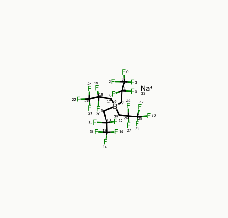 FC(F)(F)C(F)(F)C[B-](CC(F)(F)C(F)(F)F)(CC(F)(F)C(F)(F)F)CC(F)(F)C(F)(F)F.[Na+]